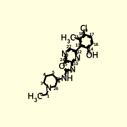 CCN1CCC[C@@H](Nc2nc3nc(-c4c(O)ccc(Cl)c4C)cnc3o2)C1